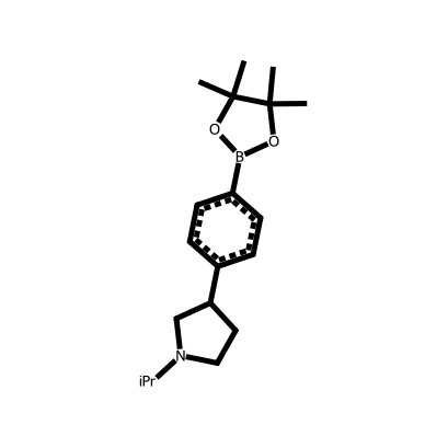 CC(C)N1CCC(c2ccc(B3OC(C)(C)C(C)(C)O3)cc2)C1